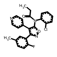 CCC(=O)N(c1ccccc1Cl)c1onc(-c2cc(C)ccc2F)c1-c1ccncc1